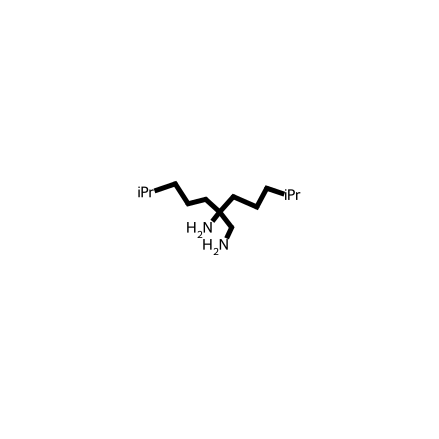 CC(C)CCCC(N)(CN)CCCC(C)C